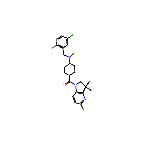 Cc1ccc2c(n1)C(C)(C)CN2C(=O)C1CCC(N(C)Cc2cc(F)ccc2F)CC1